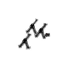 CC(C)CCCCCCCOP(OCCCCCCCC(C)C)OCCCCCCCC(C)C.CC(C)CCCCCCCOP(OCCCCCCCC(C)C)OCCCCCCCC(C)C.CC(C)CCCCCCCOP(OCCCCCCCC(C)C)OCCCCCCCC(C)C.[C]=O.[Ni]